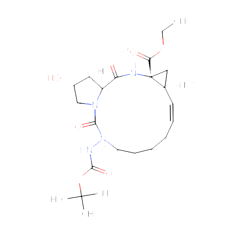 CCOC(=O)[C@@]12C[C@H]1/C=C\CCCCN(NC(=O)OC(C)(C)C)C(=O)N1C[C@H](O)C[C@H]1C(=O)N2